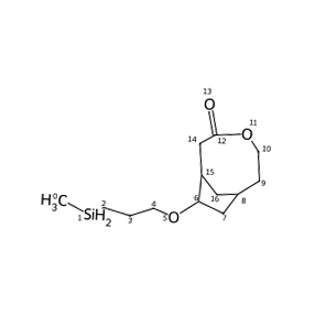 C[SiH2]CCCOC1CC2CCOC(=O)CC1C2